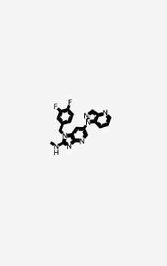 CNc1nc2ncc(-n3ncc4ncccc43)cc2n1Cc1ccc(F)c(F)c1